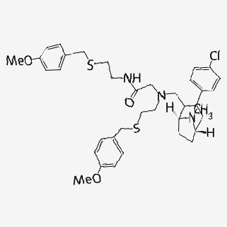 COc1ccc(CSCCNC(=O)CN(CCSCc2ccc(OC)cc2)CC2C(c3ccc(Cl)cc3)C[C@@H]3CC[C@@H]2N3C)cc1